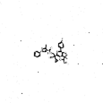 Cc1nn(-c2ccccc2)cc1C(=O)NCC(O)(c1cc2c(c(-c3ccc(F)cc3)n1)OC[C@]2(C)C(N)=O)C1CC1